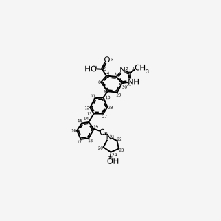 Cc1nc2c(C(=O)O)cc(-c3ccc(-c4ccccc4CN4CC[C@@H](O)C4)cc3)cc2[nH]1